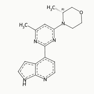 Cc1cc(N2CCOC[C@H]2C)nc(-c2ccnc3[nH]ccc23)n1